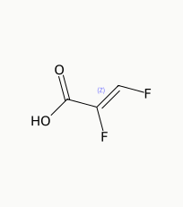 O=C(O)/C(F)=C/F